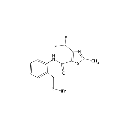 Cc1nc(C(F)F)c(C(=O)Nc2ccccc2CSC(C)C)s1